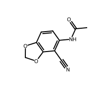 CC(=O)Nc1ccc2c(c1C#N)OCO2